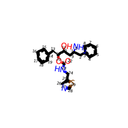 N[C@@H](Cc1ccccc1)C[C@H](O)[C@H](Cc1ccccc1)OC(=O)NCc1cncs1